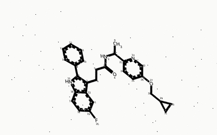 CC(NC(=O)CCc1c(-c2ccccc2)[nH]c2ccc(F)cc12)c1ccc(OCC2CC2)cn1